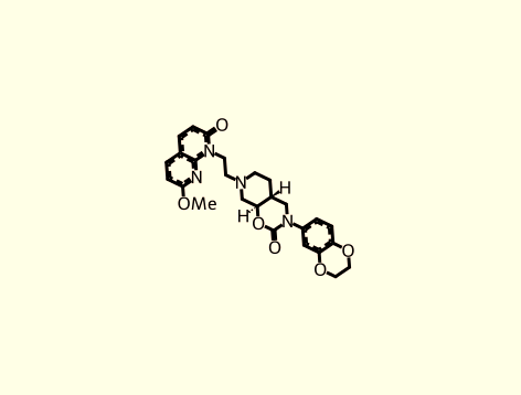 COc1ccc2ccc(=O)n(CCN3CC[C@@H]4CN(c5ccc6c(c5)OCCO6)C(=O)O[C@H]4C3)c2n1